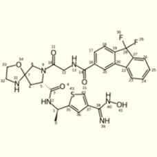 C[C@@H](NC(=O)[C@@H]1CC2(CN1C(=O)CNC(=O)c1ccc3c(c1)-c1ccccc1C3(F)F)NCCO2)c1cc(C(=N)NO)cs1